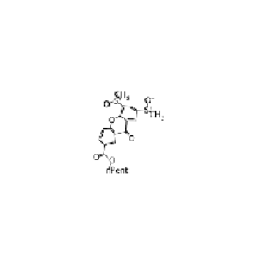 CCCCCOC(=O)c1ccc2oc3c([S+](C)[O-])cc([S+](C)[O-])cc3c(=O)c2c1